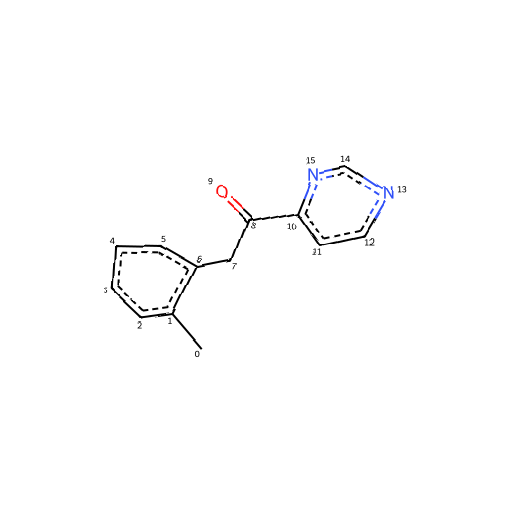 Cc1ccccc1CC(=O)c1ccncn1